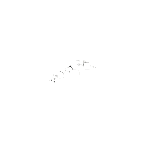 CC(C)N(c1nn(C2=CCN(S(C)(=O)=O)CC2)cc1C(=O)O)C(=O)[C@H]1CC[C@H](C)CC1